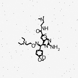 CCN(CC)CCON=C(c1ccc2c(c1)OCO2)c1nc(N)nc2sc(C(=O)NCCN(C)C)cc12